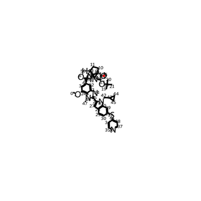 COc1cc(C(=O)N2C[C@H]3CC[C@@H]2[C@@H]3NC(=O)OC(C)(C)C)cc2nc(-c3cc4ccc(Sc5ccncc5)cc4n3CC3CC3)n(C)c12